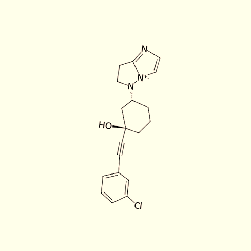 O[C@]1(C#Cc2cccc(Cl)c2)CCC[C@@H](N2CCC3=NC=C[N+]32)C1